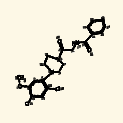 COc1cc(N2CCN(C(=O)CNC(=O)c3ccccc3)CC2)c(Cl)cc1Cl